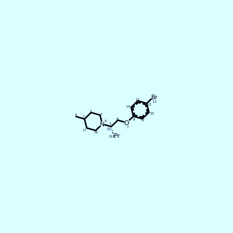 CC1CCN([C@H](COc2ccc(Br)cc2)C(C)C)CC1